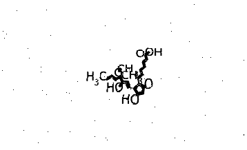 CCCCC(C)(OC)C(O)C=C[C@H]1C(O)CC(=O)[C@@H]1CCCCCCC(=O)O